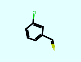 S=Cc1cccc(Cl)c1